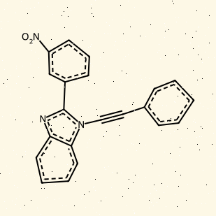 O=[N+]([O-])c1cccc(-c2nc3ccccc3n2C#Cc2ccccc2)c1